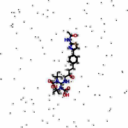 CC(=O)Nc1nc(-c2ccc(CCC(=O)CNC(N(C(=O)O)C(C)(C)C)N(C(=O)O)C(C)(C)C)cc2)cs1